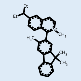 CCC(CC)c1ccc2c(-c3cc4c(cc3C)-c3ccccc3C4(C)C)[n+](C)ccc2c1